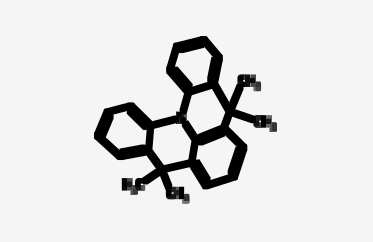 CC1(C)c2ccccc2N2c3ccccc3C(C)(C)c3cccc1c32